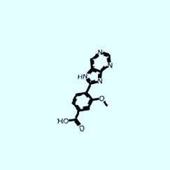 COc1cc(C(=O)O)ccc1-c1nc2ncncc2[nH]1